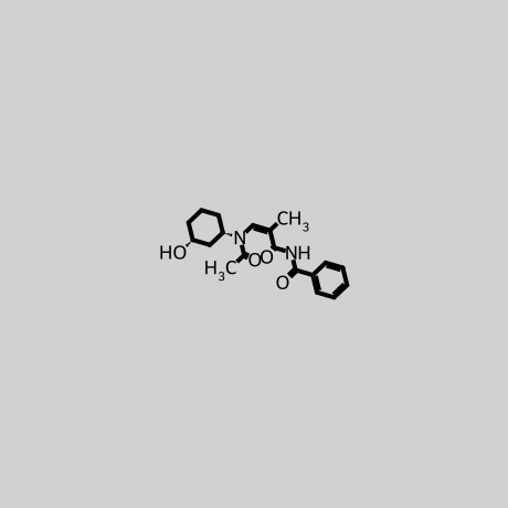 CC(=O)N(/C=C(/C)C(=O)NC(=O)c1ccccc1)[C@H]1CCC[C@@H](O)C1